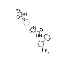 CCNC(=O)N1CCC(c2nc(C(=O)Nc3ccccc3-c3cccc(C(F)(F)F)c3)cs2)CC1